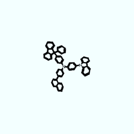 c1ccc(C2(c3ccc(N(c4ccc(-c5cccc6ccccc56)cc4)c4ccc(-n5c6ccccc6c6ccccc65)cc4)cc3)c3ccccc3-c3ccccc32)cc1